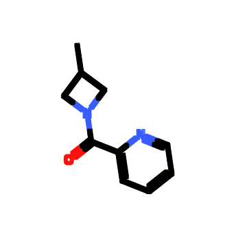 CC1CN(C(=O)c2ccccn2)C1